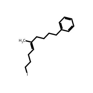 CC(=CCCCI)CCCCc1ccccc1